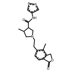 Cc1c(CCN2CC(C)C(C(=O)Nc3cnsc3)C2)ccc2c1COC2=O